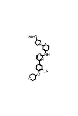 COC1CCN(c2cc(Nc3nccc(-c4ccc(OC5CCOCC5)c(C#N)c4)n3)ccn2)C1